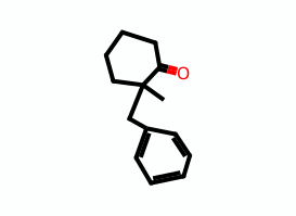 CC1(Cc2ccccc2)CCCCC1=O